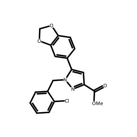 COC(=O)c1cc(-c2ccc3c(c2)OCO3)n(Cc2ccccc2Cl)n1